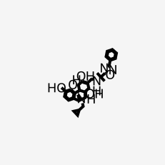 CC(C)(NCC1=C(O)[C@@H]2Oc3c(O)ccc4c3[C@@]23CCN(CC2CC2)[C@H](C4)[C@]3(O)C1)c1nc(-c2ccccc2)no1